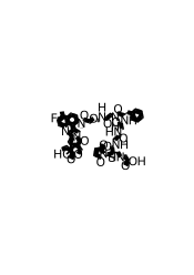 CC[C@@]1(O)C(=O)OCc2c1cc1n(c2=O)Cc2c-1nc1cc(F)c(C)c3c1c2[C@@H](N(C)C(=O)COCNC(=O)CNC(=O)[C@H](Cc1ccccc1)NC(=O)CNC(=O)CNC(=O)[C@]1(CNCC(=O)O)SC1N1C(=O)C=CC1=O)CC3